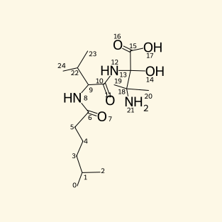 CC(C)CCCC(=O)NC(C(=O)NC(O)(C(=O)O)C(C)(C)N)C(C)C